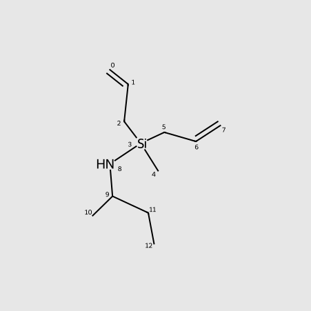 C=CC[Si](C)(CC=C)NC(C)CC